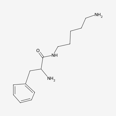 NCCCCCNC(=O)C(N)Cc1ccccc1